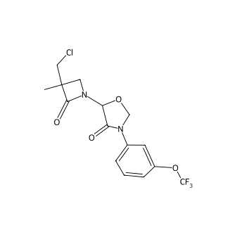 CC1(CCl)CN(C2OCN(c3cccc(OC(F)(F)F)c3)C2=O)C1=O